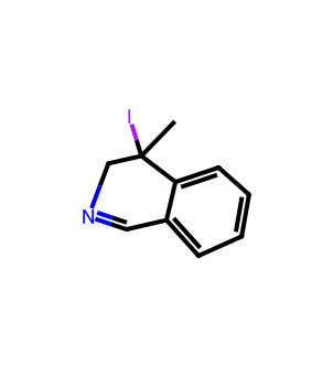 CC1(I)CN=Cc2ccccc21